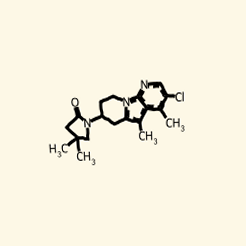 Cc1c(Cl)cnc2c1c(C)c1n2CCC(N2CC(C)(C)CC2=O)C1